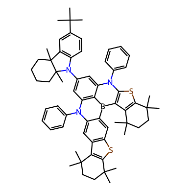 CC(C)(C)c1ccc2c(c1)C1(C)CCCCC1(C)N2c1cc2c3c(c1)N(c1ccccc1)c1sc4c(c1B3c1cc3sc5c(c3cc1N2c1ccccc1)C(C)(C)CCC5(C)C)C(C)(C)CCC4(C)C